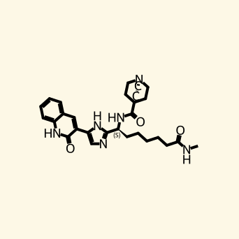 CNC(=O)CCCCC[C@H](NC(=O)C12CCN(CC1)CC2)c1ncc(-c2cc3ccccc3[nH]c2=O)[nH]1